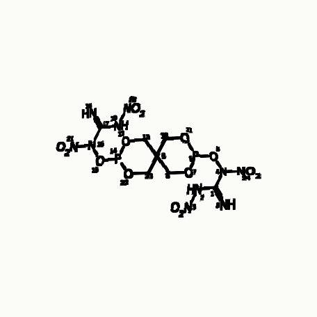 N=C(N[N+](=O)[O-])N(OP1OCC2(CO1)COP(ON(C(=N)N[N+](=O)[O-])[N+](=O)[O-])OC2)[N+](=O)[O-]